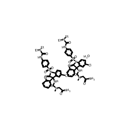 CCN(CC)C(=O)Nc1ccc(S(=O)(=O)N2C(=O)C(NC(=O)N(C)CC(N)=O)(c3ccccc3Cl)c3cc(Cl)ccc32)cc1.CCN(CC)C(=O)Nc1ccc(S(=O)(=O)N2C(=O)C(NC(=O)N(C)CC(N)=O)(c3ccccc3Cl)c3cc(Cl)ccc32)cc1.O